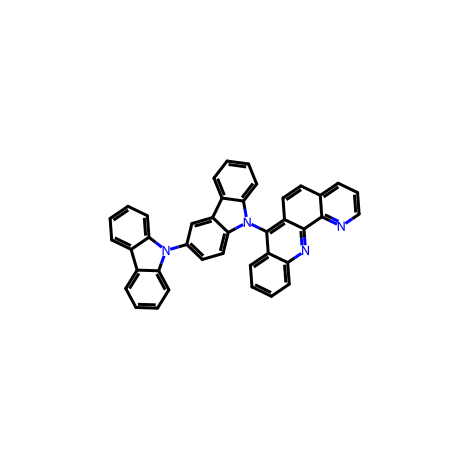 c1cnc2c(c1)ccc1c(-n3c4ccccc4c4cc(-n5c6ccccc6c6ccccc65)ccc43)c3ccccc3nc12